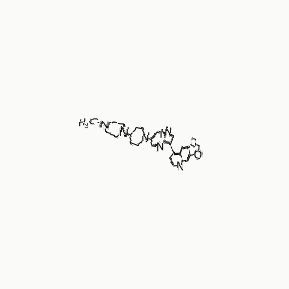 CN1CCN(C2CCN(c3cnc4c(-c5ccnc6cc7c(cc56)OCO7)cnn4c3)CC2)CC1